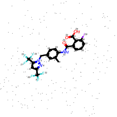 Cc1cc(Cn2nc(C(F)(F)F)cc2C(F)(F)F)ccc1NC(=O)c1cccc(I)c1C(=O)O